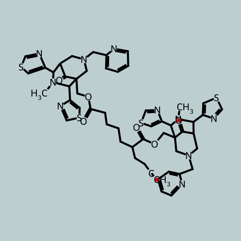 CCCCC(CCCCC(=O)OCC12CN(Cc3ccccn3)CC(C1=O)C(c1cscn1)N(C)C2c1cscn1)C(=O)OCC12CN(Cc3ccccn3)CC(C1=O)C(c1cscn1)N(C)C2c1cscn1